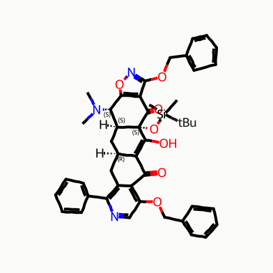 CN(C)[C@@H]1c2onc(OCc3ccccc3)c2C(=O)[C@@]2(O[Si](C)(C)C(C)(C)C)C(O)=C3C(=O)c4c(OCc5ccccc5)cnc(-c5ccccc5)c4C[C@H]3C[C@@H]12